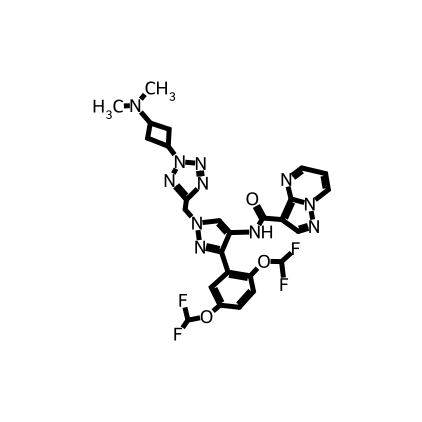 CN(C)C1CC(n2nnc(Cn3cc(NC(=O)c4cnn5cccnc45)c(-c4cc(OC(F)F)ccc4OC(F)F)n3)n2)C1